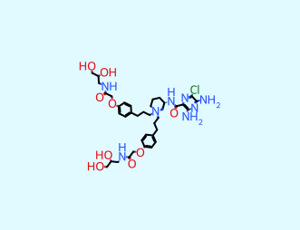 Nc1nc(N)c(C(=O)N[C@H]2CCC[N+](CCCc3ccc(OCC(=O)NCC(O)CO)cc3)(CCCc3ccc(OCC(=O)NCC(O)CO)cc3)C2)nc1Cl